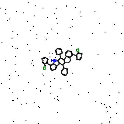 Clc1ccccc1-c1cccc2c1CCC1=C2C(c2ccccc2)c2[nH]c3c(-c4ccccc4Cl)cccc3c2C1c1ccccc1